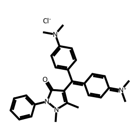 Cc1c(C(=C2C=CC(=[N+](C)C)C=C2)c2ccc(N(C)C)cc2)c(=O)n(-c2ccccc2)n1C.[Cl-]